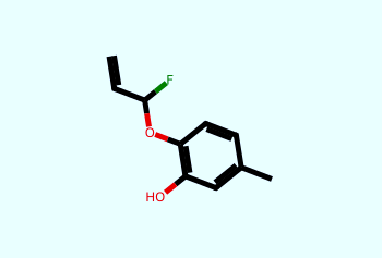 C=CC(F)Oc1ccc(C)cc1O